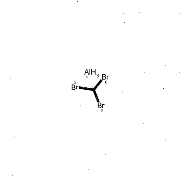 Br[C](Br)Br.[AlH3]